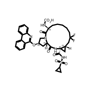 O=C(O)N[C@H]1CCCCCC(F)(F)C[C@@H]2C[C@@]2(C(=O)NS(=O)(=O)C2CC2)NC(=O)[C@@H]2C[C@@H](Oc3nc4ccccc4c4ccccc34)CN2C1=O